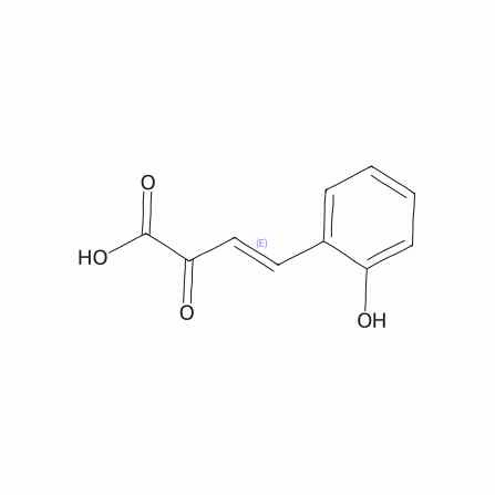 O=C(O)C(=O)/C=C/c1ccccc1O